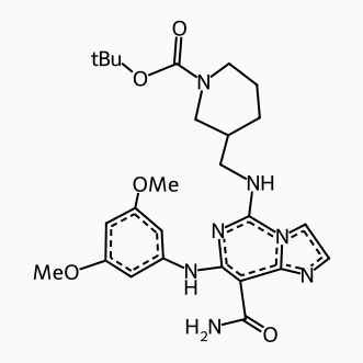 COc1cc(Nc2nc(NCC3CCCN(C(=O)OC(C)(C)C)C3)n3ccnc3c2C(N)=O)cc(OC)c1